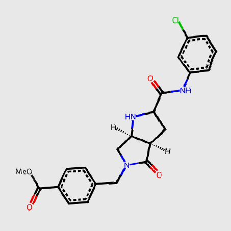 COC(=O)c1ccc(CN2C[C@H]3NC(C(=O)Nc4cccc(Cl)c4)C[C@H]3C2=O)cc1